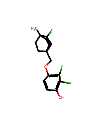 CC12CCC(COc3ccc(O)c(F)c3F)(C=C1F)CC2